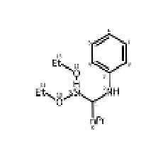 CCCC(Nc1ccccc1)[SiH](OCC)OCC